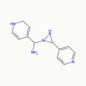 NC(C1=CCNC=C1)N1NC1c1ccncc1